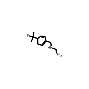 CC(C)(F)C1C=CC(CNCN)=CC1